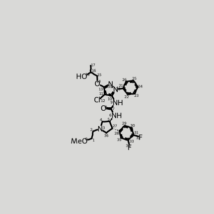 COCCN1C[C@@H](NC(=O)Nc2c(Cl)c(OCC(C)O)nn2-c2ccccc2)[C@H](c2ccc(F)c(F)c2)C1